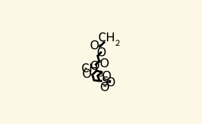 C=CC(=O)OCC(=O)OC1C(OC)CC2CC1OS2(=O)=O